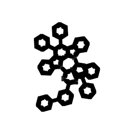 c1ccc(-c2ccc(-n3c4ccccc4c4c(-c5ccccc5)c(-c5ccccc5)c5c6ccccc6n(-c6nc(-c7ccccc7)nc(-c7cccc(-c8ccccc8)c7)n6)c5c43)cc2)cc1